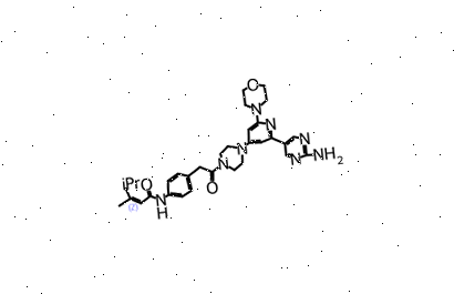 C/C(=C/C(=O)Nc1ccc(CC(=O)N2CCN(c3cc(-c4cnc(N)nc4)nc(N4CCOCC4)c3)CC2)cc1)C(C)C